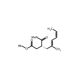 C/C=C\C=C(/C)C[C@H](CC(=O)OC(C)(C)C)C(=O)NC